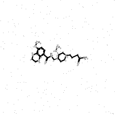 COc1ccc(C(=O)NC[C@@H]2CCN(CCCC(N)=O)C[C@H]2OC)c2c1OCCO2